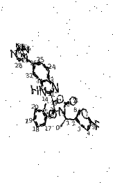 C[C@H](c1ccc(F)cc1)N1C(=O)O[C@](Cc2ccccc2)(c2nc3ccc(-n4cnnn4)cc3[nH]2)C1=O